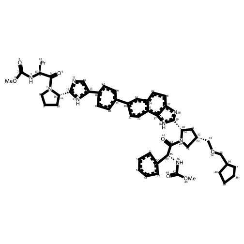 COC(=O)N[C@H](C(=O)N1CCC[C@H]1c1ncc(-c2ccc(-c3ccc4c(ccc5nc([C@@H]6C[C@H](COCC7CCCC7)CN6C(=O)[C@H](NC(=O)OC)c6ccccc6)[nH]c54)c3)cc2)[nH]1)C(C)C